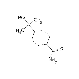 CC(C)(O)C1CCC(C(N)=O)CC1